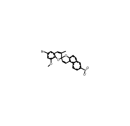 COc1cc(Br)cc2c1OC1(C=Cc3c(ccc4cc([N+](=O)[O-])ccc34)O1)C(C)=C2